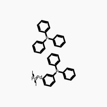 [I][Pd][I].[Pd].c1ccc(P(c2ccccc2)c2ccccc2)cc1.c1ccc(P(c2ccccc2)c2ccccc2)cc1